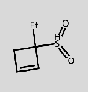 CCC1([SH](=O)=O)C=CC1